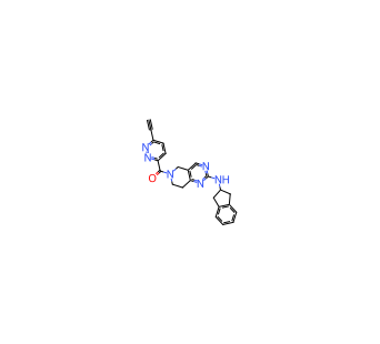 C#Cc1ccc(C(=O)N2CCc3nc(NC4Cc5ccccc5C4)ncc3C2)nn1